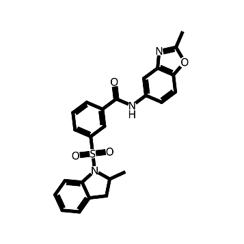 Cc1nc2cc(NC(=O)c3cccc(S(=O)(=O)N4c5ccccc5CC4C)c3)ccc2o1